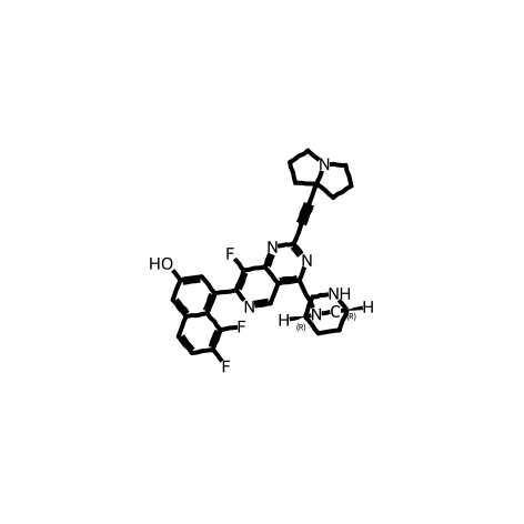 Oc1cc(-c2ncc3c(N4C[C@H]5CC[C@@H]4CN5)nc(C#CC45CCCN4CCC5)nc3c2F)c2c(F)c(F)ccc2c1